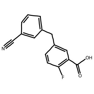 N#Cc1cccc(Cc2ccc(F)c(C(=O)O)c2)c1